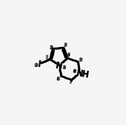 Ic1ccc2n1CCNC2